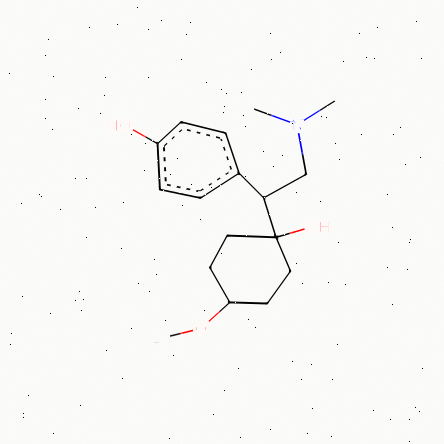 CCOC1CCC(O)(C(CN(C)C)c2ccc(O)cc2)CC1